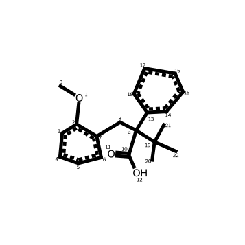 COc1ccccc1CC(C(=O)O)(c1ccccc1)C(C)(C)C